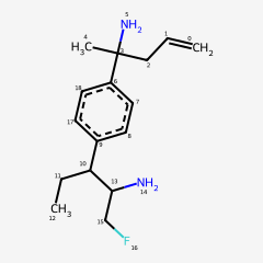 C=CCC(C)(N)c1ccc(C(CC)C(N)CF)cc1